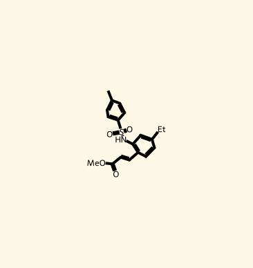 CCc1ccc(C=CC(=O)OC)c(NS(=O)(=O)c2ccc(C)cc2)c1